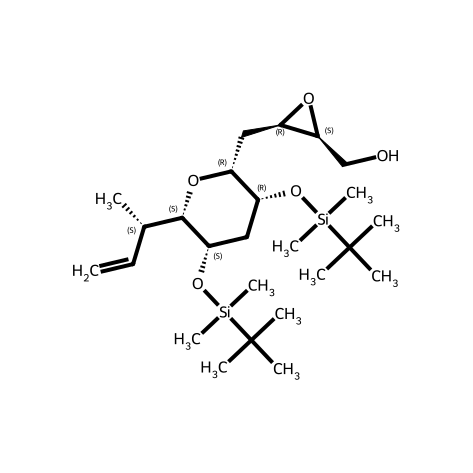 C=C[C@H](C)[C@@H]1O[C@H](C[C@H]2O[C@H]2CO)[C@H](O[Si](C)(C)C(C)(C)C)C[C@@H]1O[Si](C)(C)C(C)(C)C